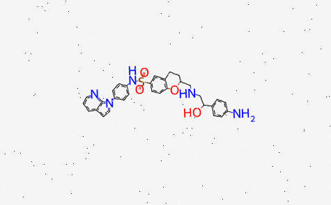 Nc1ccc(C(O)CNCC2CCc3cc(S(=O)(=O)Nc4ccc(-n5ccc6cccnc65)cc4)ccc3O2)cc1